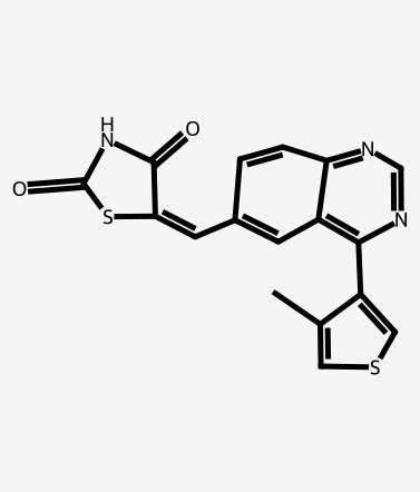 Cc1cscc1-c1ncnc2ccc(C=C3SC(=O)NC3=O)cc12